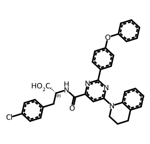 O=C(N[C@H](Cc1ccc(Cl)cc1)C(=O)O)c1cc(N2CCCc3ccccc32)nc(-c2ccc(Oc3ccccc3)cc2)n1